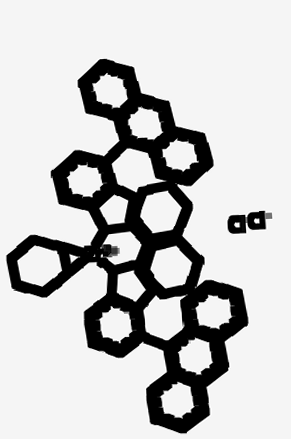 C1=C(C2CCCCC2)[CH]([Zr+2]2([CH]3C(C4CCCCC4)=Cc4c(-c5c6ccccc6cc6ccccc56)cccc43)[CH]3CCCC[CH]32)c2cccc(-c3c4ccccc4cc4ccccc34)c21.[Cl-].[Cl-]